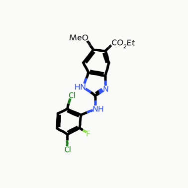 CCOC(=O)c1cc2nc(Nc3c(Cl)ccc(Cl)c3F)[nH]c2cc1OC